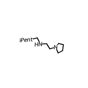 CCCC(C)CNCCN1CCCC1